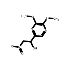 COc1ncc(C(O)C[N+](=O)[O-])nc1OC